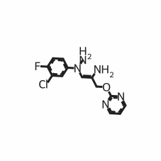 N/C(=C\N(N)c1ccc(F)c(Cl)c1)COc1ncccn1